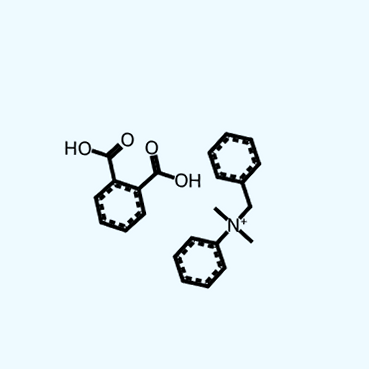 C[N+](C)(Cc1ccccc1)c1ccccc1.O=C(O)c1ccccc1C(=O)O